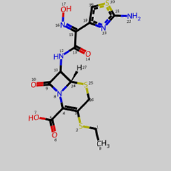 CCSC1=C(C(=O)O)N2C(=O)C(NC(=O)C(=NO)c3csc(N)n3)[C@@H]2SC1